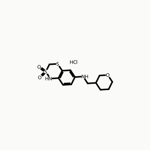 Cl.O=S1(=O)CSc2cc(NCC3CCCOC3)ccc2N1